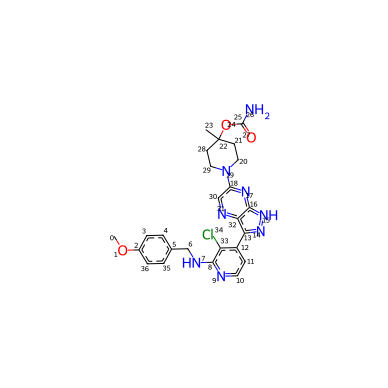 COc1ccc(CNc2nccc(-c3n[nH]c4nc(N5CCC(C)(OC(N)=O)CC5)cnc34)c2Cl)cc1